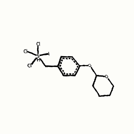 Cl[SH](Cl)(Cl)(I)Cc1ccc(OC2CCCCO2)cc1